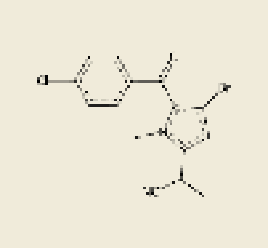 CC(C#N)c1cc(Br)c(C(=O)c2ccc(Cl)cc2)n1C